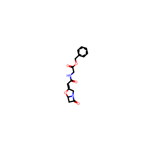 O=C(C=C1CN2C(=O)CC2O1)NCC(=O)OCc1ccccc1